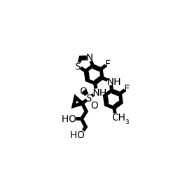 Cc1ccc(Nc2c(NS(=O)(=O)C3(CC(O)CO)CC3)cc3scnc3c2F)c(F)c1